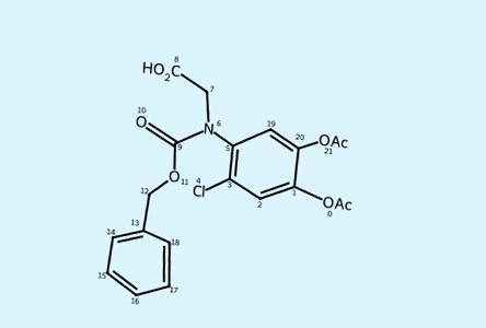 CC(=O)Oc1cc(Cl)c(N(CC(=O)O)C(=O)OCc2ccccc2)cc1OC(C)=O